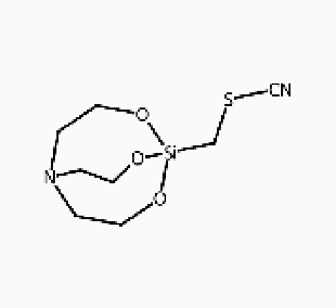 N#CSC[Si]12OCCN(CCO1)CCO2